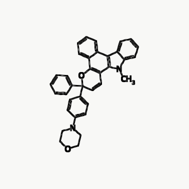 Cn1c2ccccc2c2c3ccccc3c3c(c21)C=CC(c1ccccc1)(c1ccc(N2CCOCC2)cc1)O3